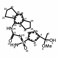 COC(C)(O)c1ncc(S(N)(=O)=NC(=O)Nc2c3c(cc4c2CCC4)CCC3)s1